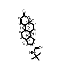 CC(C)(C)NC(=O)[C@H]1C[C@H]2[C@@H]3CC[C@H]4OC(=O)C=C[C@]4(C)[C@H]3CC[C@]2(C)C1